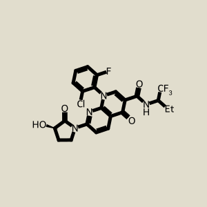 CCC(NC(=O)c1cn(-c2c(F)cccc2Cl)c2nc(N3CC[C@@H](O)C3=O)ccc2c1=O)C(F)(F)F